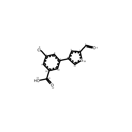 O=Cc1cc(-c2cc(Cl)cc(C(=O)O)c2)cs1